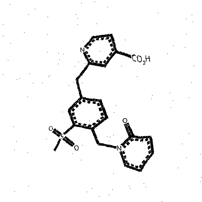 CS(=O)(=O)c1cc(Cc2cc(C(=O)O)ccn2)ccc1Cn1ccccc1=O